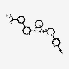 N#Cc1ncc(N2CCC[C@H](N[C@@H]3CCCC[C@H]3Nc3cc(-c4cccc(C(N)=O)c4)ccn3)C2)cn1